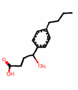 CCCCc1ccc(C(O)CCC(=O)O)cc1